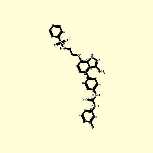 Nc1n[nH]c2c(OCCNS(=O)(=O)c3ccccc3)ccc(-c3ccc(NC(=O)Nc4cccc(F)c4)cc3)c12